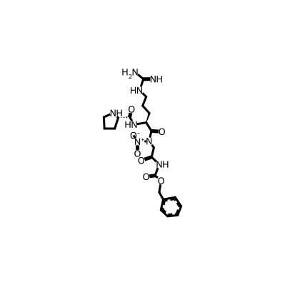 N=C(N)NCCC[C@H](NC(=O)[C@@H]1CCCN1)C(=O)N(CC(=O)NC(=O)OCc1ccccc1)[N+](=O)[O-]